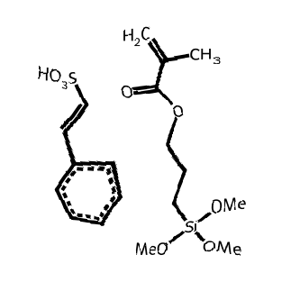 C=C(C)C(=O)OCCC[Si](OC)(OC)OC.O=S(=O)(O)C=Cc1ccccc1